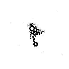 CC1=C[C@]23C(O)[C@@H](C=C(CO)[C@@H](O)[C@]2(O)[C@H]1OC(=O)/C=C/c1ccccc1)[C@H]1[C@@H](C[C@H]3C)C1(C)C